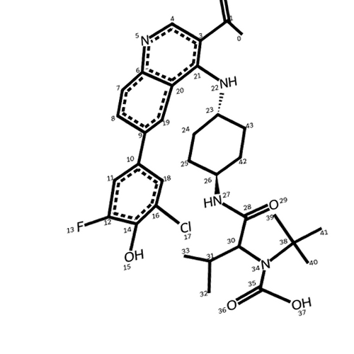 CC(=O)c1cnc2ccc(-c3cc(F)c(O)c(Cl)c3)cc2c1N[C@H]1CC[C@H](NC(=O)C(C(C)C)N(C(=O)O)C(C)(C)C)CC1